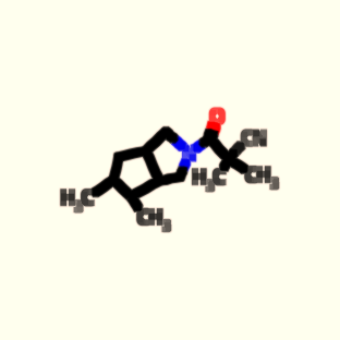 CC1CC2CN(C(=O)C(C)(C)C#N)CC2C1C